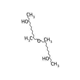 CCCC(O)CCCCCCCC(C)CCOCCC(C)CCCCCCCC(O)CCC